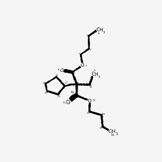 CCCCOC(=O)C(CC)(C(=O)OCCCC)C1CCCC1